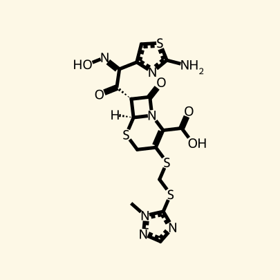 Cn1ncnc1SCSC1=C(C(=O)O)N2C(=O)[C@@H](C(=O)/C(=N\O)c3csc(N)n3)[C@@H]2SC1